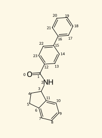 O=C(NC1CCc2ccccc21)c1ccc(-c2ccccc2)cc1